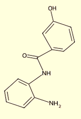 Nc1ccccc1NC(=O)c1cccc(O)c1